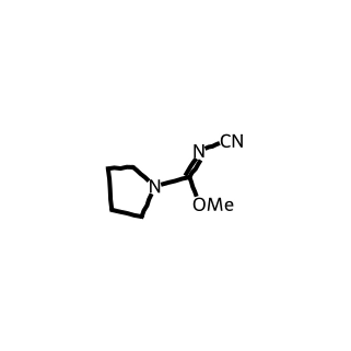 COC(=NC#N)N1CCCC1